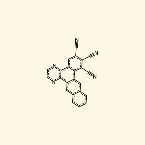 N#Cc1cc2c3nccnc3c3cc4ccccc4cc3c2c(C#N)c1C#N